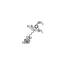 BCc1cc(CB)c(OC(=O)CCCCC(=O)OC(CF)C(F)(F)S(=O)(=O)O)c(CB)c1